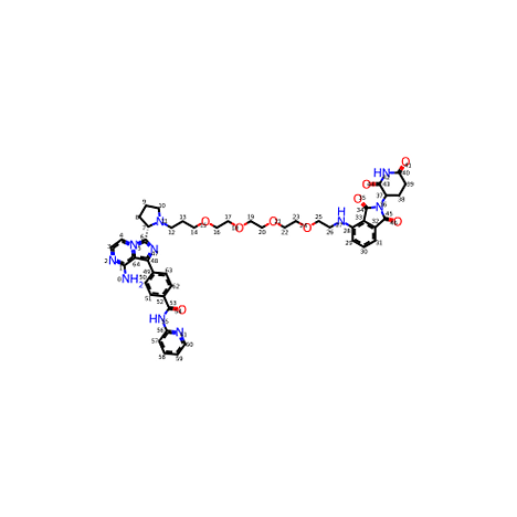 Nc1nccn2c([C@@H]3CCCN3CCCOCCOCCOCCOCCNc3cccc4c3C(=O)N(C3CCC(=O)NC3=O)C4=O)nc(-c3ccc(C(=O)Nc4ccccn4)cc3)c12